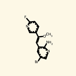 COC(=Cc1cc(Br)cnc1N)c1ccc(F)nc1